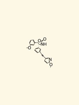 COc1cccc([C@H]2OC(=O)N[C@@H]2c2cccc(C#Cc3ccc(OC)nc3)c2)c1